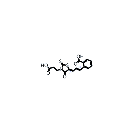 O=C(O)CCN1C(=O)/C(=C/C=C/c2ccccc2C(=O)O)SC1=S